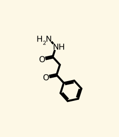 NNC(=O)CC(=O)c1ccccc1